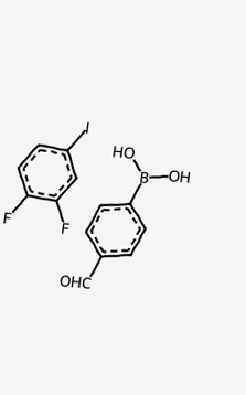 Fc1ccc(I)cc1F.O=Cc1ccc(B(O)O)cc1